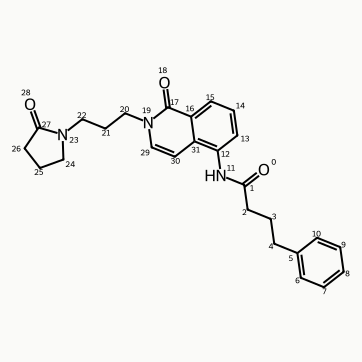 O=C(CCCc1ccccc1)Nc1cccc2c(=O)n(CCCN3CCCC3=O)ccc12